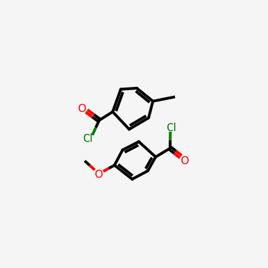 COc1ccc(C(=O)Cl)cc1.Cc1ccc(C(=O)Cl)cc1